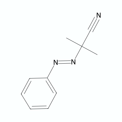 CC(C)(C#N)N=Nc1ccccc1